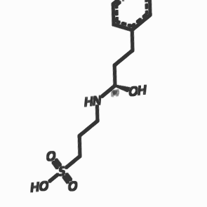 O=S(=O)(O)CCCN[C@H](O)CCc1ccccc1